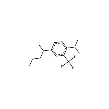 CCCC(C)c1ccc(C(C)C)c(C(F)(F)F)c1